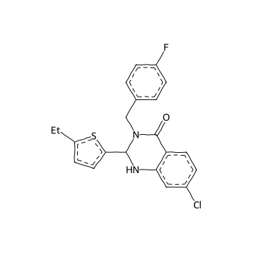 CCc1ccc(C2Nc3cc(Cl)ccc3C(=O)N2Cc2ccc(F)cc2)s1